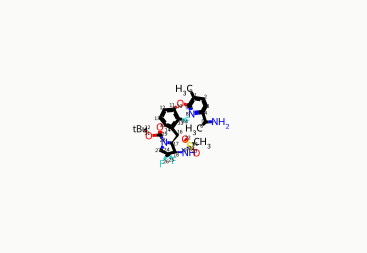 Cc1ccc(C(C)N)nc1Oc1cccc(C[C@H]2[C@@H](NS(C)(=O)=O)C(F)(F)CN2C(=O)OC(C)(C)C)c1F